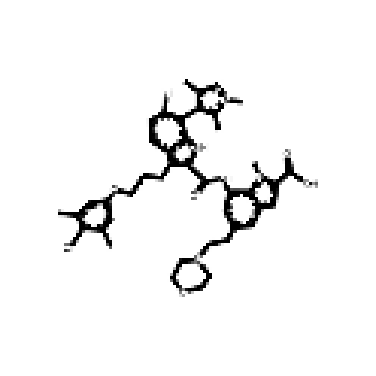 Cc1cc(OCCCc2c(C(=O)Nc3cc(CCN4CCOCC4)cc4cc(C(=O)O)n(C)c34)[nH]c3c(-c4c(C)nn(C)c4C)c(Cl)ccc23)cc(C)c1Cl